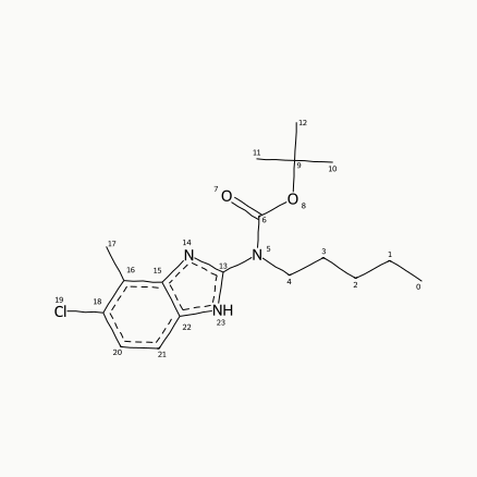 CCCCCN(C(=O)OC(C)(C)C)c1nc2c(C)c(Cl)ccc2[nH]1